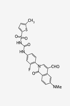 CNc1ccc2c(=O)n(-c3ccc(NC(=O)NS(=O)(=O)c4ccc(C)s4)cc3F)cc(C=O)c2c1